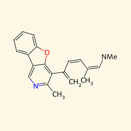 C=C(/C=C\C(C)=C/NC)c1c(C)ncc2c1oc1ccccc12